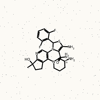 CC1(O)CCc2c1ncc(N1C(C(N)=O)=C(N)SC1c1c(F)cccc1F)c2N1CCC[C@H](N)C1